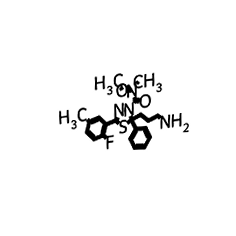 CON(C)C(=O)N1N=C(c2cc(C)ccc2F)SC1(CCCN)c1ccccc1